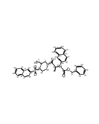 CCCCC1CN(C(=O)C(C)N(C(=O)OCc2ccccc2)c2ccc3ccccc3c2)CCN1S(=O)(=O)c1ccc2ccccc2c1